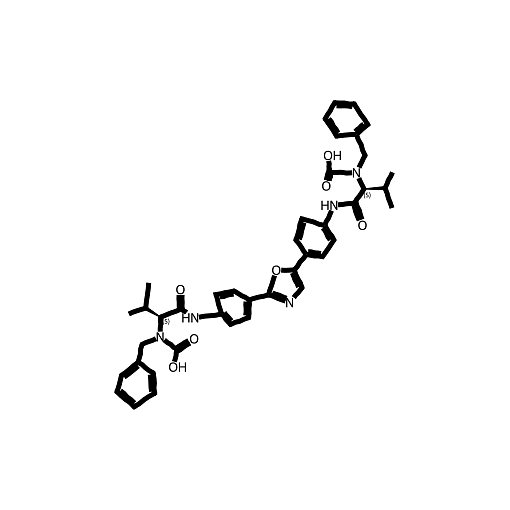 CC(C)[C@@H](C(=O)Nc1ccc(-c2cnc(-c3ccc(NC(=O)[C@H](C(C)C)N(Cc4ccccc4)C(=O)O)cc3)o2)cc1)N(Cc1ccccc1)C(=O)O